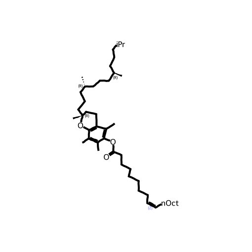 CCCCCCCC/C=C\CCCCCCCC(=O)Oc1c(C)c(C)c2c(c1C)CC[C@@](C)(CCC[C@H](C)CCC[C@H](C)CCCC(C)C)O2